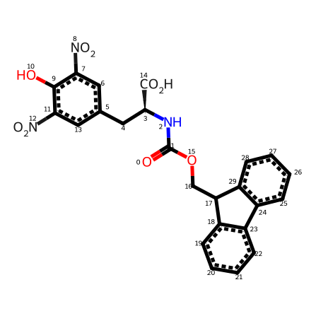 O=C(N[C@@H](Cc1cc([N+](=O)[O-])c(O)c([N+](=O)[O-])c1)C(=O)O)OCC1c2ccccc2-c2ccccc21